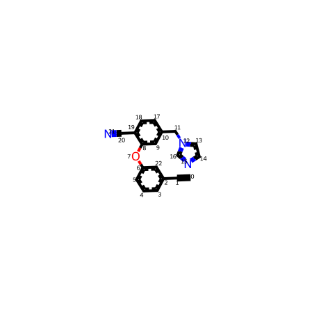 C#Cc1cccc(Oc2cc(Cn3ccnc3)ccc2C#N)c1